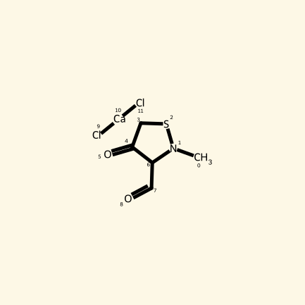 CN1SCC(=O)C1C=O.[Cl][Ca][Cl]